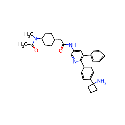 CC(=O)N(C)[C@H]1CC[C@H](CC(=O)Nc2cnc(-c3ccc(C4(N)CCC4)cc3)c(-c3ccccc3)c2)CC1